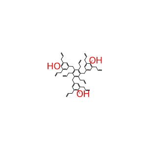 C=CCc1cc(Cc2c(CC=C)c(Cc3cc(CC=C)c(O)c(CC=C)c3)c(CC=C)c(Cc3cc(CC=C)c(O)c(CC=C)c3)c2CC=C)cc(CC=C)c1O